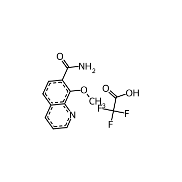 COc1c(C(N)=O)ccc2cccnc12.O=C(O)C(F)(F)F